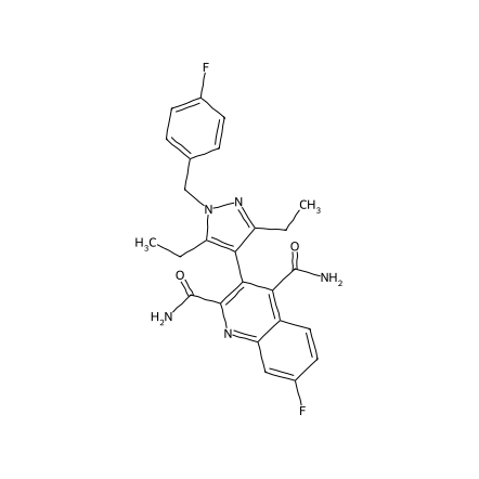 CCc1nn(Cc2ccc(F)cc2)c(CC)c1-c1c(C(N)=O)nc2cc(F)ccc2c1C(N)=O